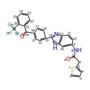 O=C(Cc1cccs1)Nc1ccc2nc(-c3ccc(C(=O)c4ccccc4C(F)(F)F)cc3)[nH]c2c1